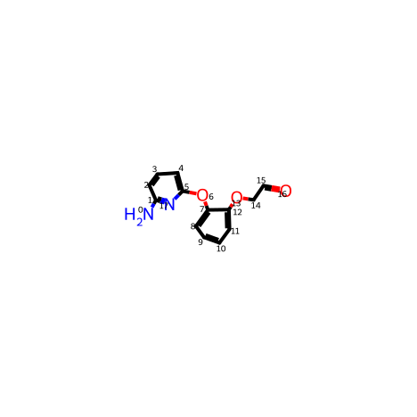 Nc1cccc(Oc2ccccc2OCC=O)n1